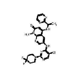 CC(Nc1cc(=O)n(C)c2ncc(Nc3nc(N4CCC(F)(F)CC4)ncc3Cl)cc12)c1ncccn1